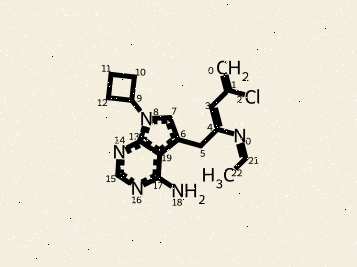 C=C(Cl)/C=C(Cc1cn(C2CCC2)c2ncnc(N)c12)\N=C/C